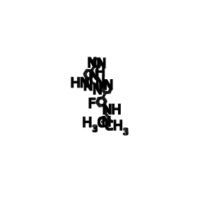 CN(C)CCNc1cc(F)cc(-c2ccnc3[nH]c(-c4n[nH]c5ccc(-c6cnccn6)nc45)nc23)c1